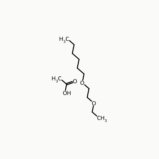 CC(=O)O.CCCCCCOCCOCC